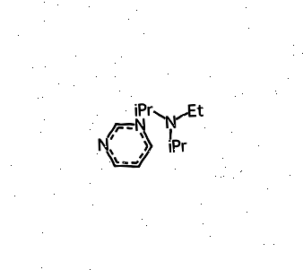 CCN(C(C)C)C(C)C.c1cncnc1